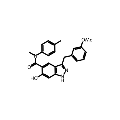 COc1cccc(Cc2n[nH]c3cc(O)c(C(=O)N(C)c4ccc(C)cc4)cc23)c1